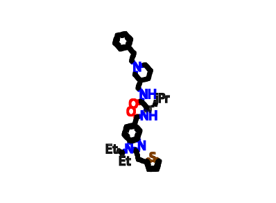 CCC(CC)n1c(Cc2cccs2)nc2cc(C(=O)N[C@@H](CC(C)C)C(=O)NCC3CCCN(CCc4ccccc4)C3)ccc21